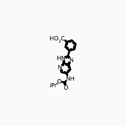 CC(C)OC(=O)Nc1cnc2[nH]c(-c3cccc(C(=O)O)c3)nc2c1